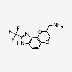 NCC1COc2ccc3[nH]c(C(F)(F)F)nc3c2O1